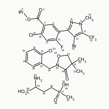 CC(C)OC(=O)c1cc(-c2nn(C)c(C(F)(F)F)c2Br)c(F)cc1Cl.CC1(C)CON(Cc2ccccc2Cl)C1=O.CP(=O)(O)CCC(N)C(=O)O